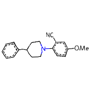 COc1ccc(N2CCC(c3ccccc3)CC2)c(C#N)c1